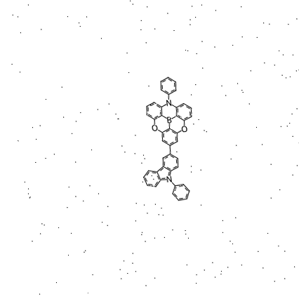 c1ccc(N2c3cccc4c3B3c5c(cc(-c6ccc7c(c6)c6ccccc6n7-c6ccccc6)cc5Oc5cccc2c53)O4)cc1